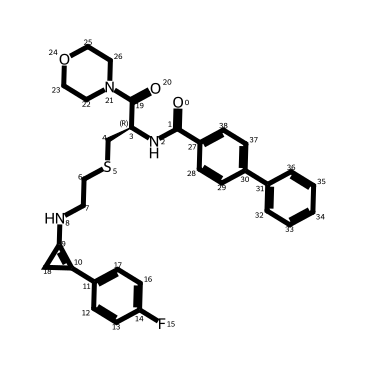 O=C(N[C@@H](CSCCNC1=C(c2ccc(F)cc2)C1)C(=O)N1CCOCC1)c1ccc(-c2ccccc2)cc1